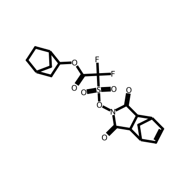 O=C1C2C3C=CC(C3)C2C(=O)N1OS(=O)(=O)C(F)(F)C(=O)OC1CC2CCC1C2